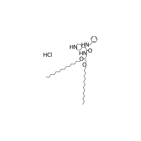 CCCCCCCCCCCCCCOCC(CNC(=O)C(NCc1ccccc1)C1CCNCC1)OCCCCCCCCCCCCCC.Cl